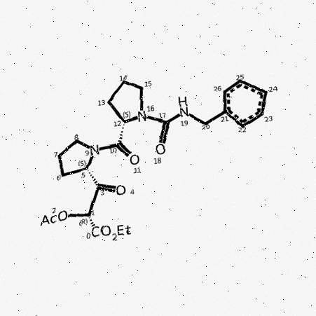 CCOC(=O)[C@H](OC(C)=O)C(=O)[C@@H]1CCCN1C(=O)[C@@H]1CCCN1C(=O)NCc1ccccc1